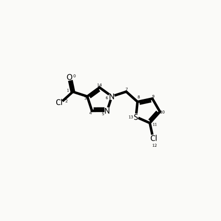 O=C(Cl)c1cnn(Cc2ccc(Cl)s2)c1